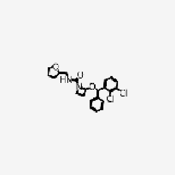 O=C(NCC1CCCO1)N1CCC1OC(c1ccccc1)c1cccc(Cl)c1Cl